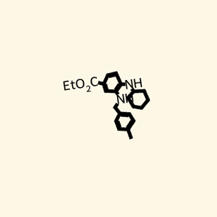 CCOC(=O)c1ccc(NC2CCCCC2)c(NCc2ccc(C)cc2)c1